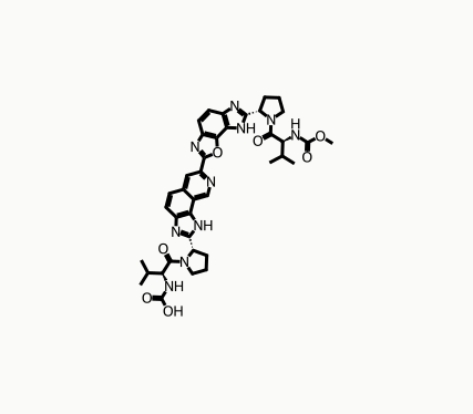 COC(=O)N[C@H](C(=O)N1CCC[C@H]1c1nc2ccc3nc(-c4cc5ccc6nc([C@@H]7CCCN7C(=O)[C@@H](NC(=O)O)C(C)C)[nH]c6c5cn4)oc3c2[nH]1)C(C)C